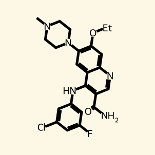 CCOc1cc2ncc(C(N)=O)c(Nc3cc(F)cc(Cl)c3)c2cc1N1CCN(C)CC1